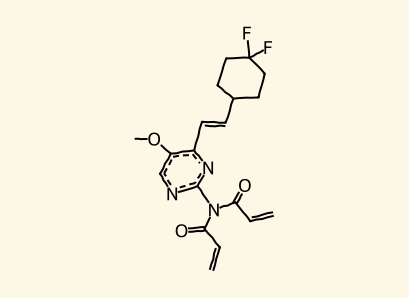 C=CC(=O)N(C(=O)C=C)c1ncc(OC)c(C=CC2CCC(F)(F)CC2)n1